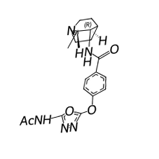 CC(=O)Nc1nnc(Oc2ccc(C(=O)N[C@@H]3C4CCN(CC4)[C@H]3C)cc2)o1